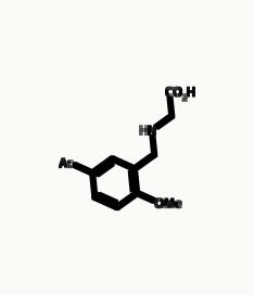 COc1ccc(C(C)=O)cc1CNCC(=O)O